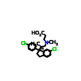 C[C@H](CN(C)CCC(=O)O)[C@@]1(c2ccc(Cl)cc2)CCc2ccc(Cl)cc21